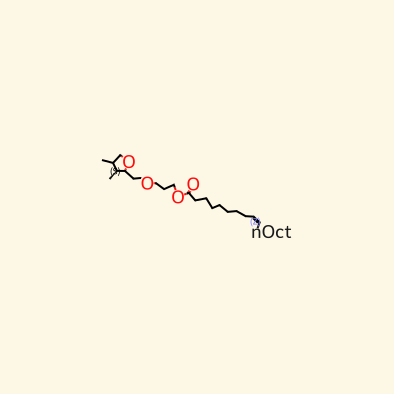 CCCCCCCC/C=C\CCCCCCCC(=O)OCCCOCCC1OCC(C)[C@@H]1C